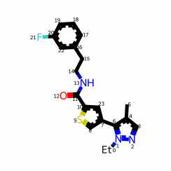 CCn1ncc(C)c1-c1csc(C(=O)NCCc2cccc(F)c2)c1